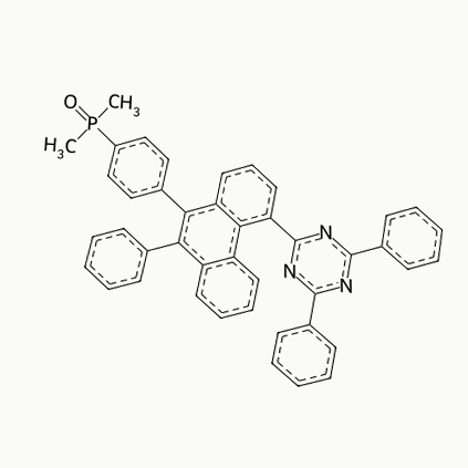 CP(C)(=O)c1ccc(-c2c(-c3ccccc3)c3ccccc3c3c(-c4nc(-c5ccccc5)nc(-c5ccccc5)n4)cccc23)cc1